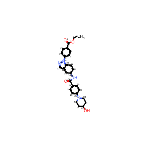 CCOC(=O)c1ccc(-n2ncc3cc(NC(=O)c4ccc(N5CCC(O)CC5)cc4)ccc32)cc1